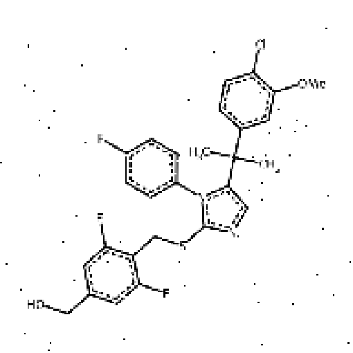 COc1cc(C(C)(C)c2cnc(SCc3c(F)cc(CO)cc3F)n2-c2ccc(F)cc2)ccc1Cl